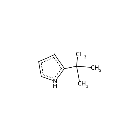 CC(C)(C)c1[c]cc[nH]1